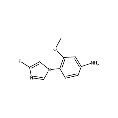 COc1cc(N)ccc1-n1cnc(F)c1